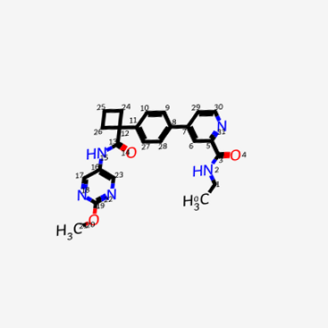 CCNC(=O)c1cc(-c2ccc(C3(C(=O)Nc4cnc(OC)nc4)CCC3)cc2)ccn1